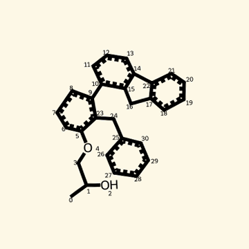 CC(O)COc1cccc(-c2cccc3c2Cc2ccccc2-3)c1Cc1ccccc1